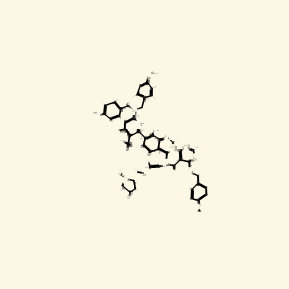 COc1ccc(CNc2ncncc2C(C)N2C=C(OC[C@@H]3C[C@@H](F)CN3C)Oc3c(F)c(-c4nc(N(Cc5ccc(OC)cc5)Cc5ccc(OC)cc5)cc(C)c4C(F)(F)F)c(Cl)c4c3=C2NCN=4)cc1